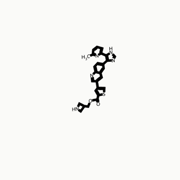 Cc1cccc(-c2[nH]cnc2-c2ccc3ncc(-c4csc(C(=O)OCC5CNC5)c4)cc3c2)n1